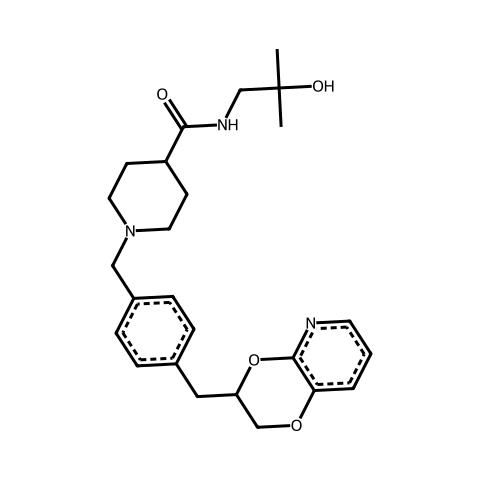 CC(C)(O)CNC(=O)C1CCN(Cc2ccc(CC3COc4cccnc4O3)cc2)CC1